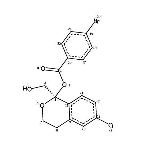 O=C(O[C@]1(CO)OCCc2cc(Cl)ccc21)c1ccc(Br)cc1